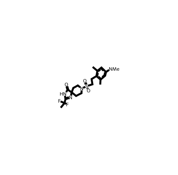 CNc1cc(C)c(CCS(=O)(=O)N2CCC3(CC2)N=C(C(C)(F)F)NC3=O)c(C)c1